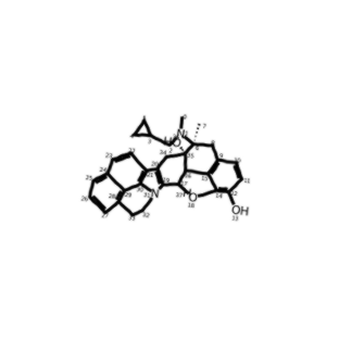 CN(CC1CC1)[C@@]1(C)Cc2ccc(O)c3c2C2[C@@H](O3)c3c(c4ccc5cccc6c5c4n3CC6)C[C@]21O